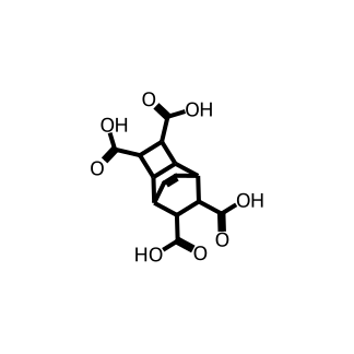 O=C(O)C1C2C=CC(C1C(=O)O)C1C(C(=O)O)C(C(=O)O)C21